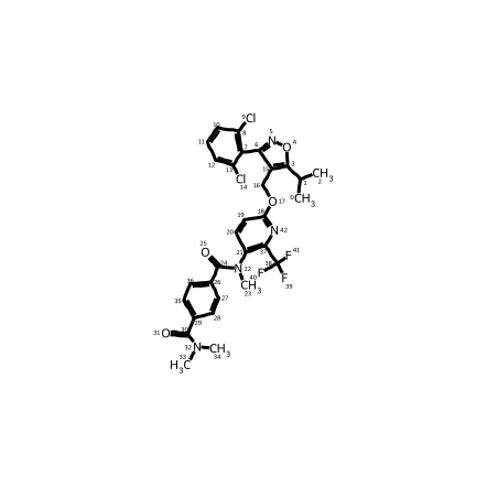 CC(C)c1onc(-c2c(Cl)cccc2Cl)c1COc1ccc(N(C)C(=O)c2ccc(C(=O)N(C)C)cc2)c(C(F)(F)F)n1